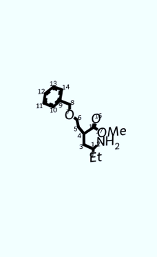 CCC(N)CC(CCOCc1ccccc1)C(=O)OC